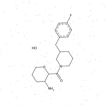 Cl.NC1CCCOC1C(=O)N1CCCC(Cc2ccc(F)cc2)C1